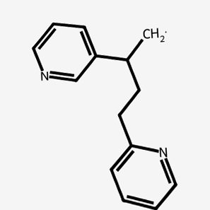 [CH2]C(CCc1ccccn1)c1cccnc1